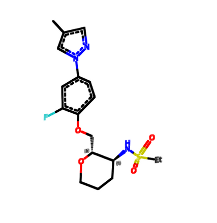 CCS(=O)(=O)N[C@H]1CCCO[C@@H]1COc1ccc(-n2cc(C)cn2)cc1F